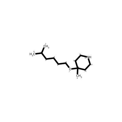 CC(C)CCCCOC1(C)CCNCC1